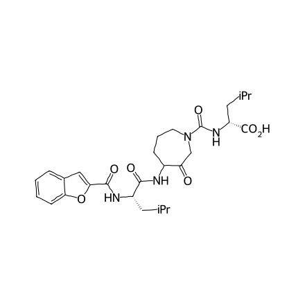 CC(C)C[C@H](NC(=O)c1cc2ccccc2o1)C(=O)NC1CCCN(C(=O)N[C@H](CC(C)C)C(=O)O)CC1=O